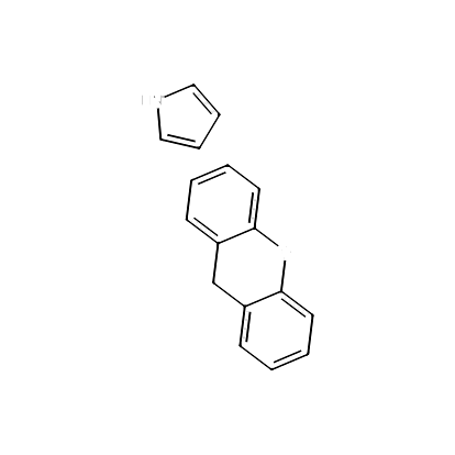 c1cc[nH]c1.c1ccc2c(c1)Cc1ccccc1O2